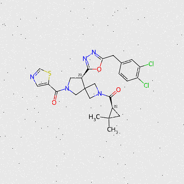 CC1(C)C[C@@H]1C(=O)N1CC2(CN(C(=O)c3cncs3)C[C@H]2c2nnc(Cc3ccc(Cl)c(Cl)c3)o2)C1